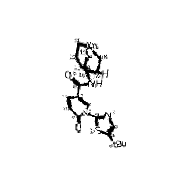 CC(C)(C)c1cnc(-n2cc(C(=O)N[C@H]3CN4CCC3CC4)ccc2=O)s1